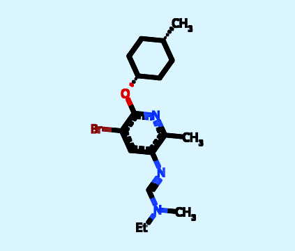 CCN(C)/C=N/c1cc(Br)c(O[C@H]2CC[C@@H](C)CC2)nc1C